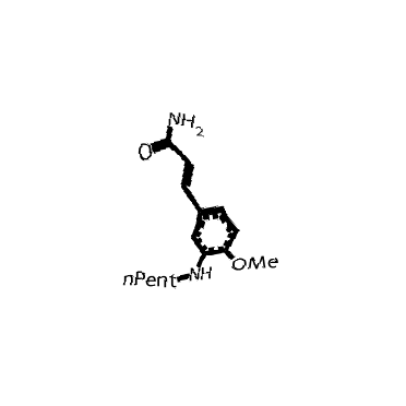 CCCCCNc1cc(C=CC(N)=O)ccc1OC